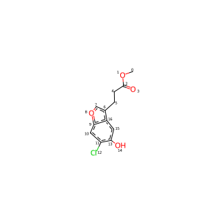 COC(=O)CCc1coc2cc(Cl)c(O)cc12